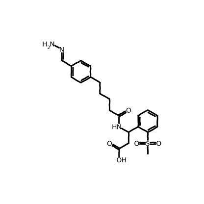 CS(=O)(=O)c1ccccc1C(CC(=O)O)NC(=O)CCCCc1ccc(C=NN)cc1